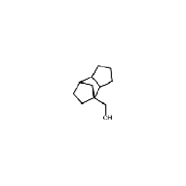 OCC12CCC(C1)C1CCCC12